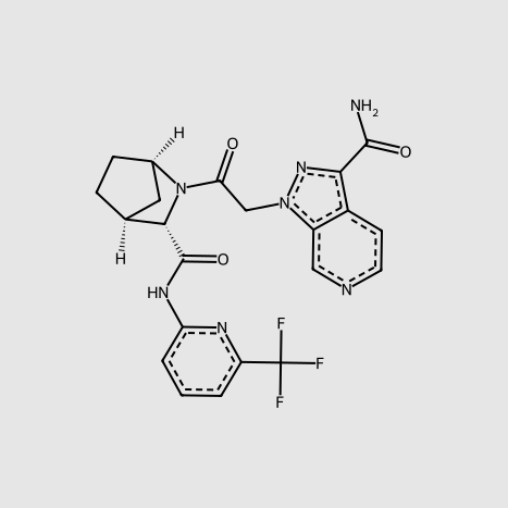 NC(=O)c1nn(CC(=O)N2[C@@H]3CC[C@@H](C3)[C@H]2C(=O)Nc2cccc(C(F)(F)F)n2)c2cnccc12